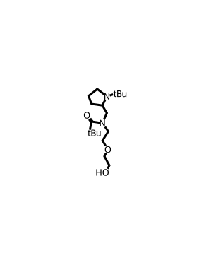 CC(C)(C)C(=O)N(CCOCCO)CC1CCCN1C(C)(C)C